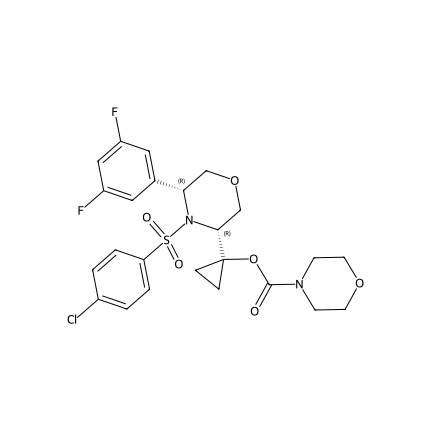 O=C(OC1([C@H]2COC[C@@H](c3cc(F)cc(F)c3)N2S(=O)(=O)c2ccc(Cl)cc2)CC1)N1CCOCC1